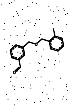 Cc1ccccc1COCc1cccc(C=O)c1